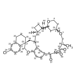 C[C@@H]1CO[C@H]2CCO[C@H](C2)[C@@H]2CC[C@H]2CN2C[C@@]3(CCCc4cc(Cl)ccc43)COc3ccc(cc32)C(=O)NS1(=O)=O